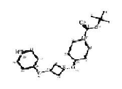 CC(C)(C)OC(=O)N1CCC(O[C@H]2C[C@H](OC3CCNCC3)C2)CC1